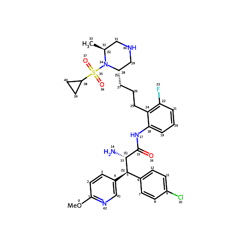 COc1ccc([C@H](c2ccc(Cl)cc2)[C@H](N)C(=O)Nc2cccc(F)c2CCC[C@H]2CNC[C@H](C)N2S(=O)(=O)C2CC2)cn1